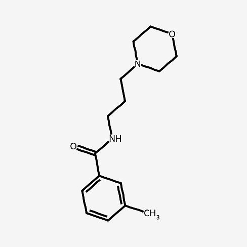 Cc1cccc(C(=O)NCCCN2CCOCC2)c1